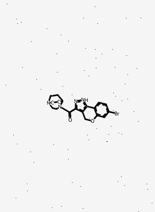 O=C(c1n[nH]c2c1COc1cc(Br)ccc1-2)N1CCN2CCC1CC2